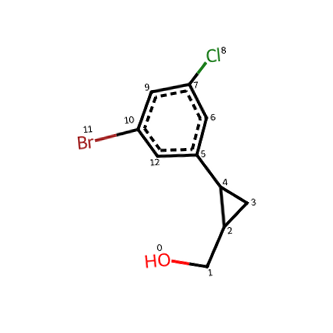 OCC1CC1c1cc(Cl)cc(Br)c1